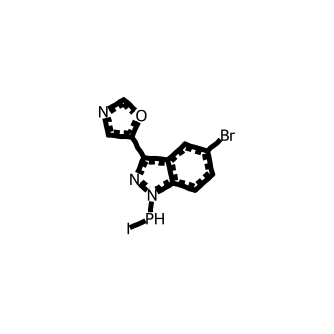 Brc1ccc2c(c1)c(-c1cnco1)nn2PI